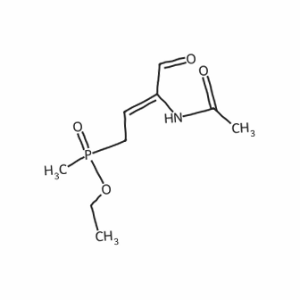 CCOP(C)(=O)C/C=C(/C=O)NC(C)=O